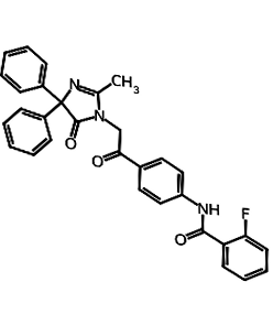 CC1=NC(c2ccccc2)(c2ccccc2)C(=O)N1CC(=O)c1ccc(NC(=O)c2ccccc2F)cc1